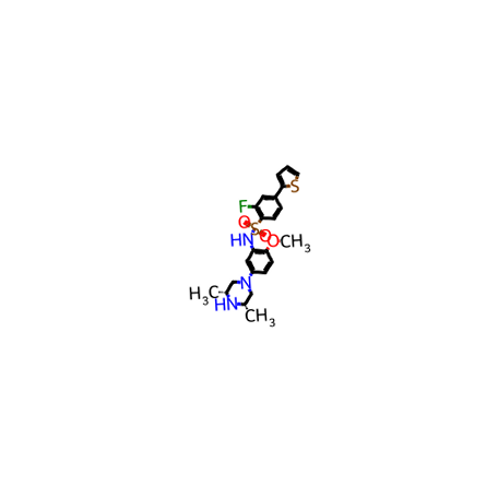 COc1ccc(N2C[C@@H](C)N[C@@H](C)C2)cc1NS(=O)(=O)c1ccc(-c2cccs2)cc1F